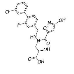 O=C(O)[C@H](O)CN(NCc1ccc(-c2cccc(Cl)c2)c(F)c1)C(=O)c1cc(O)no1